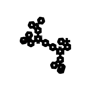 CC1(C)c2ccccc2-c2c(-c3nc(-c4ccc(-c5ccc(-c6nc(-c7ccc8c(c7)c7ccccc7n8-c7ccccc7)nc(-c7cccc8c7-c7ccccc7C87C8CC9CC(C8)CC7C9)n6)cc5)cc4)nc(-c4ccc5c(c4)-c4ccccc4C54C5CC6CC(C5)CC4C6)n3)cccc21